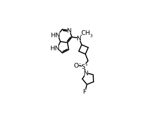 CN(C1=C2C=CNC2NC=N1)C1CC(C[S+]([O-])N2CCC(F)C2)C1